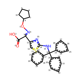 O=C(O)C(=NOC1CCCC1)c1csc(NC(c2ccccc2)(c2ccccc2)c2ccccc2)n1